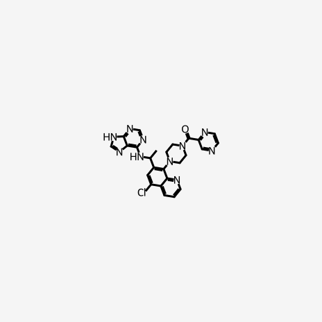 CC(Nc1ncnc2[nH]cnc12)c1cc(Cl)c2cccnc2c1N1CCN(C(=O)c2cnccn2)CC1